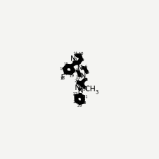 Cc1c(CN2CCN(c3cccnc3-c3ccc(F)cc3)CC2)cnn1-c1ccccc1